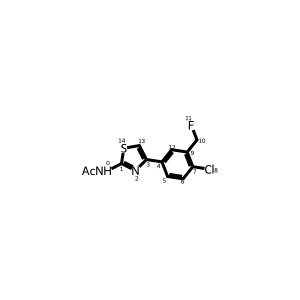 CC(=O)Nc1nc(-c2ccc(Cl)c(CF)c2)cs1